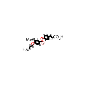 COc1cc(C(=O)Oc2ccc(C=CC(=O)O)cc2)ccc1OCCCC(F)(F)F